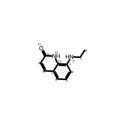 CCNc1cccc2ccc(=O)[nH]c12